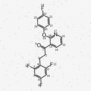 O=C(CCc1c(F)cc(F)cc1F)c1cccnc1Oc1ccc(F)cc1